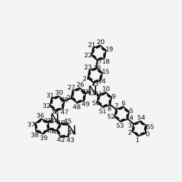 c1ccc(-c2ccc(-c3ccc(N(c4ccc(-c5ccccc5)cc4)c4ccc(-c5cccc(-n6c7ccccc7c7ccncc76)c5)cc4)cc3)cc2)cc1